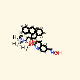 COc1nc2ccc(C=NO)cc2cc1[C@@H](c1ccccc1)[C@](O)(CCN(C)C)c1cccc2ccccc12